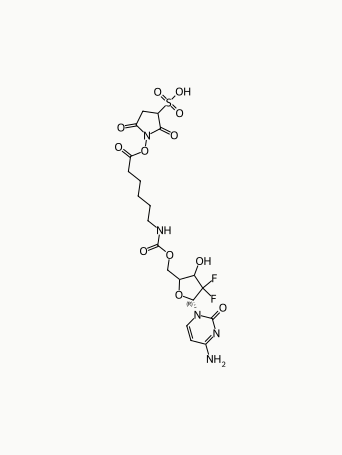 Nc1ccn([C@@H]2OC(COC(=O)NCCCCCC(=O)ON3C(=O)CC(S(=O)(=O)O)C3=O)C(O)C2(F)F)c(=O)n1